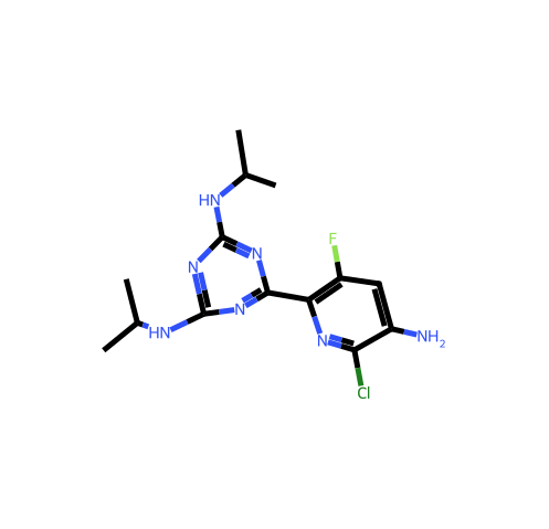 CC(C)Nc1nc(NC(C)C)nc(-c2nc(Cl)c(N)cc2F)n1